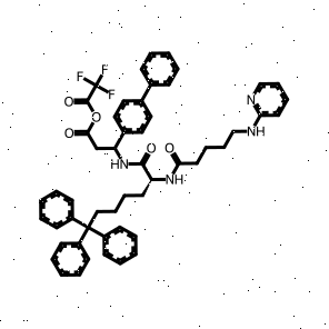 O=C(CCCCNc1ccccn1)N[C@@H](CCCCC(c1ccccc1)(c1ccccc1)c1ccccc1)C(=O)NC(CC(=O)OC(=O)C(F)(F)F)c1ccc(-c2ccccc2)cc1